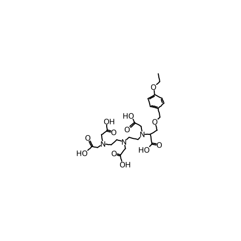 CCOc1ccc(COCC(C(=O)O)N(CCN(CCN(CC(=O)O)CC(=O)O)CC(=O)O)CC(=O)O)cc1